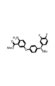 CCCCN(c1ccc(Oc2ccc(N)c(C(=O)OC)c2)cc1)c1ccc(F)c(F)c1